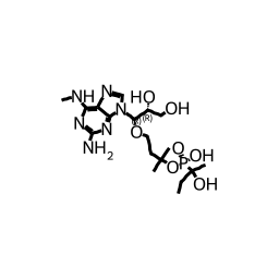 CCC(C)(O)P(=O)(O)OC(C)(C)CCO[C@H]([C@H](O)CO)n1cnc2c(NC)nc(N)nc21